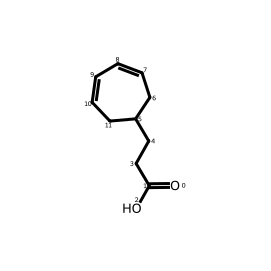 O=C(O)CCC1CC=CC=CC1